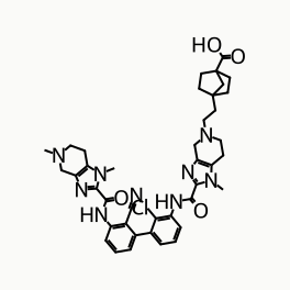 CN1CCc2c(nc(C(=O)Nc3cccc(-c4cccc(NC(=O)c5nc6c(n5C)CCN(CCC57CCC(C(=O)O)(CC5)C7)C6)c4Cl)c3C#N)n2C)C1